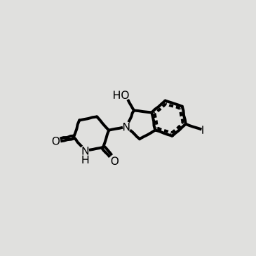 O=C1CCC(N2Cc3cc(I)ccc3C2O)C(=O)N1